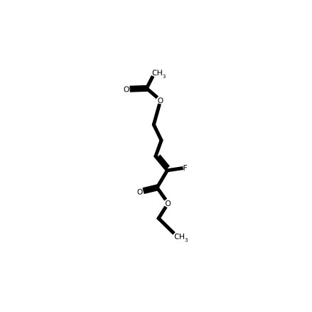 CCOC(=O)/C(F)=C/CCOC(C)=O